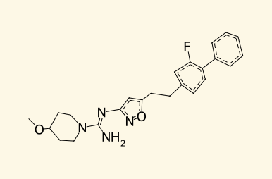 COC1CCN(C(N)=Nc2cc(CCc3ccc(-c4ccccc4)c(F)c3)on2)CC1